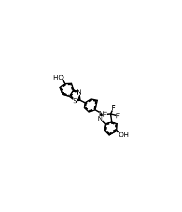 Oc1ccc(N=Nc2ccc(-c3nc4cc(O)ccc4s3)cc2)c(C(F)(F)F)c1